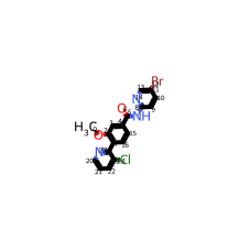 COc1cc(C(=O)Nc2ccc(Br)cn2)ccc1-c1ncccc1Cl